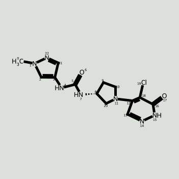 Cn1cc(NC(=O)N[C@@H]2CCN(c3cn[nH]c(=O)c3Cl)C2)cn1